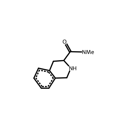 CNC(=O)C1Cc2ccccc2CN1